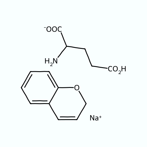 C1=Cc2ccccc2OC1.NC(CCC(=O)O)C(=O)[O-].[Na+]